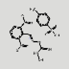 Cc1ccc(S(=O)(=O)O)cc1.N=C(NO)N/N=C/c1c([N+](=O)[O-])cccc1[N+](=O)[O-]